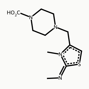 CN=c1scc(CN2CCN(C(=O)O)CC2)n1C